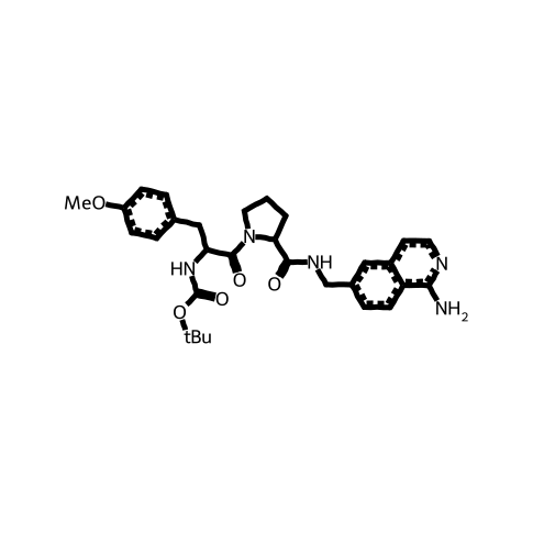 COc1ccc(CC(NC(=O)OC(C)(C)C)C(=O)N2CCCC2C(=O)NCc2ccc3c(N)nccc3c2)cc1